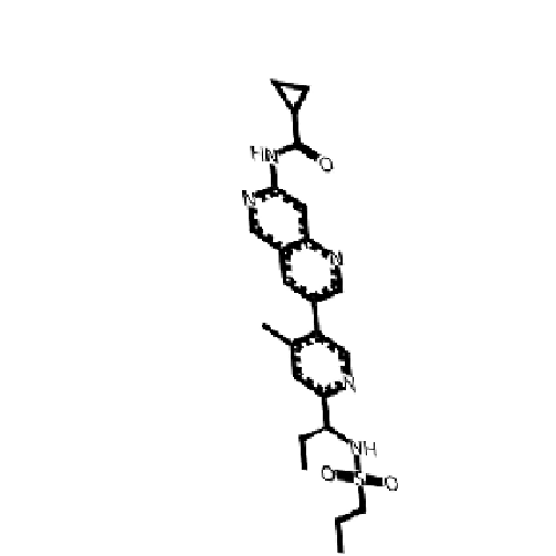 CCCS(=O)(=O)N[C@@H](CC)c1cc(C)c(-c2cnc3cc(NC(=O)C4CC4)ncc3c2)cn1